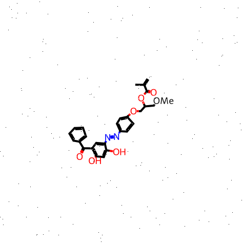 C=C(C)C(=O)OC(COC)COc1ccc(N=Nc2cc(C(=O)c3ccccc3)c(O)cc2O)cc1